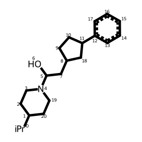 CC(C)C1CCN(C(O)CC2CCC(c3ccccc3)C2)CC1